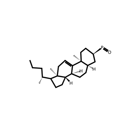 CCC[C@@H](C)C1CC[C@H]2[C@@H]3CC[C@@H]4C[C@H](P=O)CC[C@]4(C)C3=CC[C@]12C